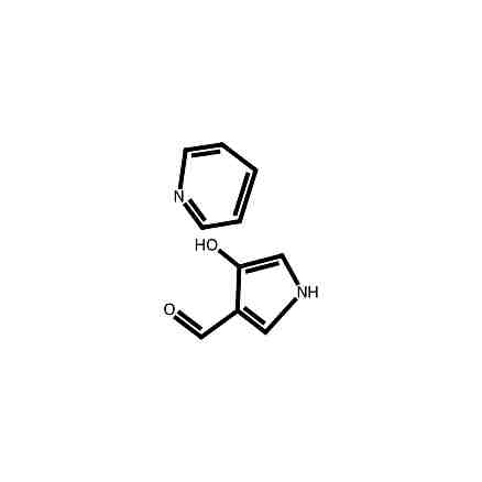 O=Cc1c[nH]cc1O.c1ccncc1